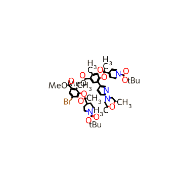 COC(=O)c1cc(-c2ccc(N3C[C@@H](C)O[C@@H](C)C3)nc2)c2c(c1C)OC(C)(C1=CCN(C(=O)OC(C)(C)C)C=C1)O2.COC(=O)c1cc(Br)c2c(c1C)OC(C)(C1CCN(C(=O)OC(C)(C)C)CC1)O2